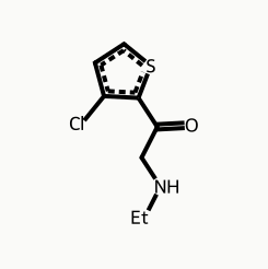 CCNCC(=O)c1sccc1Cl